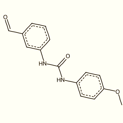 COc1ccc(NC(=O)Nc2cccc(C=O)c2)cc1